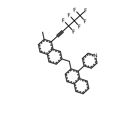 Cc1ccc2ccc(Cc3ccc4ccccc4c3-c3ccncc3)cc2c1C#CC(F)(F)C(F)(F)C(F)(F)F